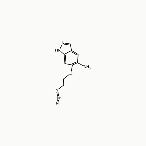 [N-]=[N+]=NCCOc1cc2[nH]ncc2cc1N